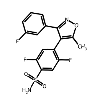 Cc1onc(-c2cccc(F)c2)c1-c1cc(F)c(S(N)(=O)=O)cc1F